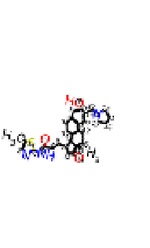 Cc1cnc(NC(=O)CCC2CC(=O)C3(C)CCC4c5cc(CN6CCCC6)c(O)cc5CCC4C23)s1